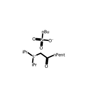 CCCCCC(=O)C[S+](C(C)C)C(C)C.CCCCS(=O)(=O)[O-]